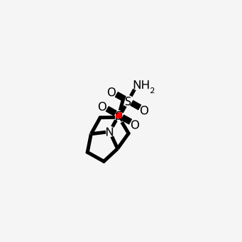 CS(=O)(=O)N1C2CCC1CN(S(N)(=O)=O)C2